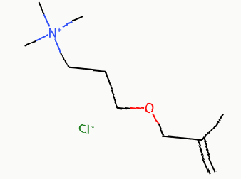 C=C(C)COCCC[N+](C)(C)C.[Cl-]